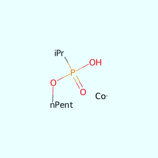 CCCCCOP(=O)(O)C(C)C.[Co]